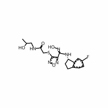 CC(O)CNC(=O)CSc1nonc1/C(=N\O)N[C@H]1CCc2ccc(F)cc21